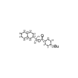 CCC(C)c1ccc(C(=O)OC(C)(C)c2ccc3ccccc3c2)cc1